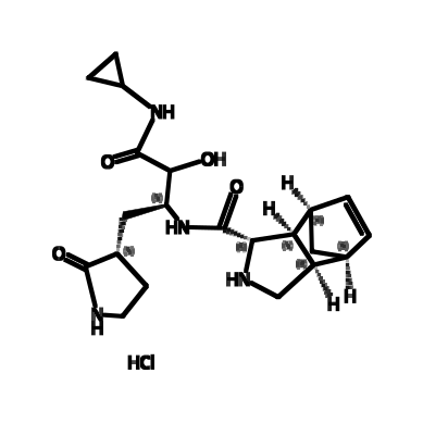 Cl.O=C(NC1CC1)C(O)[C@H](C[C@@H]1CCNC1=O)NC(=O)[C@H]1NC[C@H]2[C@@H]1[C@H]1C=C[C@@H]2C1